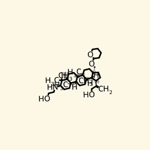 C=C(CO)[C@@H]1CC[C@]2(COC3CCCCO3)CC[C@]3(C)[C@H](CC[C@@H]4[C@@]5(C)CCC(NCCO)C(C)(C)[C@@H]5CC[C@]43C)[C@@H]12